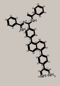 C=C(NC(/N=C(\N)c1ccccc1)c1ccc(-c2cccc3c(-c4ccc(/C(C=N)=C/N)cc4)cccc23)cc1)c1ccccc1